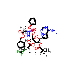 CC(C)C(=O)O[C@H]1[C@H](c2ccc3c(N)ncnn23)O[C@](C)(COP(=O)(N[C@@H](C)C(=O)OC[C@H]2CC[C@H](C(F)(F)F)CC2)Oc2ccccc2)[C@H]1OC(=O)C(C)C